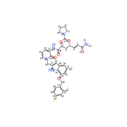 CN(C)C(=O)C=CCCC(OC(=O)N1CCCC1)C(=O)Nc1cccn(Cc2cc3cc(F)cc(OCc4ccc(F)cc4F)c3[nH]2)c1=O